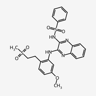 COc1ccc(CCS(C)(=O)=O)c(Nc2nc3ccccc3nc2NS(=O)(=O)c2ccccc2)c1